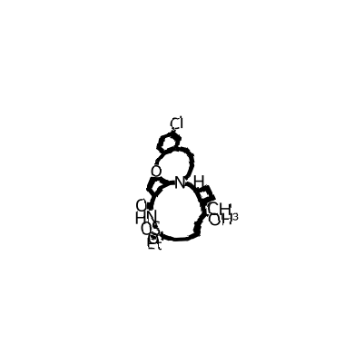 CC[C@@H]1CC/C=C/[C@H](O)[C@@]2(C)CC[C@@H]2CN2CCCCc3cc(Cl)ccc3COc3ccc(cc32)C(=O)NS1(=O)=O